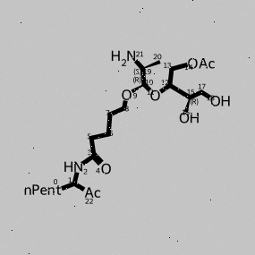 CCCCCC(NC(=O)CCCCO[C@H](OC(COC(C)=O)[C@H](O)CO)[C@H](C)N)C(C)=O